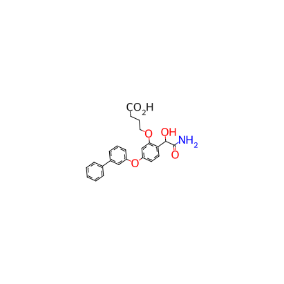 NC(=O)C(O)c1ccc(Oc2cccc(-c3ccccc3)c2)cc1OCCCC(=O)O